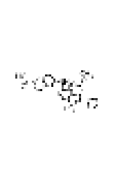 COC(=O)CC(Cc1ccccc1)c1nc(Nc2ccc3c(c2)CCN(C(=O)O)C3)ncc1C(F)(F)F